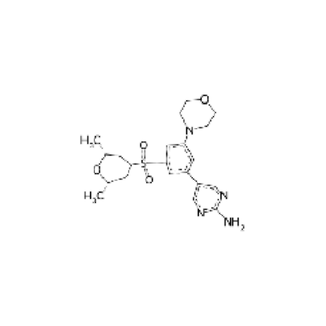 C[C@@H]1CC(S(=O)(=O)c2cc(-c3cnc(N)nc3)cc(N3CCOCC3)c2)C[C@H](C)O1